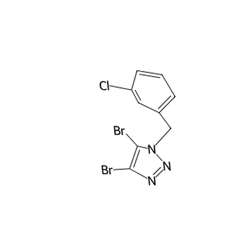 Clc1cccc(Cn2nnc(Br)c2Br)c1